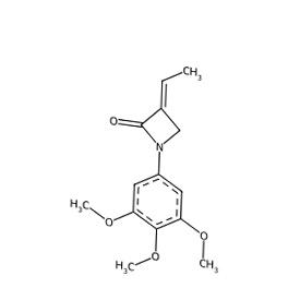 C/C=C1\CN(c2cc(OC)c(OC)c(OC)c2)C1=O